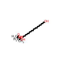 C=C(C)C(=O)O.C=C(C)C(=O)O.OCCCCCCCCCCCCCCCCCCCCCCCO